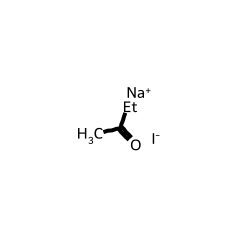 CCC(C)=O.[I-].[Na+]